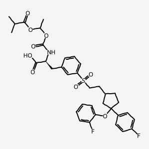 CC(OC(=O)N[C@@H](Cc1cccc(S(=O)(=O)CCC2CCC(Oc3ccccc3F)(c3ccc(F)cc3)C2)c1)C(=O)O)OC(=O)C(C)C